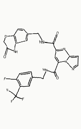 O=C1COc2ccc(CNC(=O)c3cc(C(=O)NCc4ccc(F)c(C(F)(F)F)c4)n4nccc4n3)cc2N1